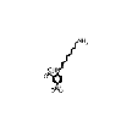 NCCCCCCCCNc1ccc([N+](=O)[O-])cc1[N+](=O)[O-]